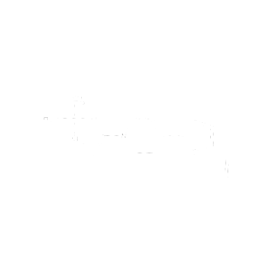 CC(C)(C)OC(=O)N1CC=C(c2ccc(C=O)s2)CC1